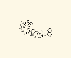 CCN(COc1cccc2ccccc12)C(=O)OCc1ccc(O[C@@H]2OC(C(=O)OC)C(OC(C)=O)[C@H](OC(C)=O)C2OC(C)=O)c(N)c1